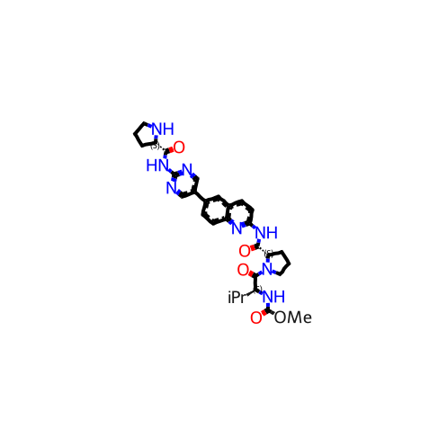 COC(=O)N[C@H](C(=O)N1CCC[C@H]1C(=O)Nc1ccc2cc(-c3cnc(NC(=O)[C@@H]4CCCN4)nc3)ccc2n1)C(C)C